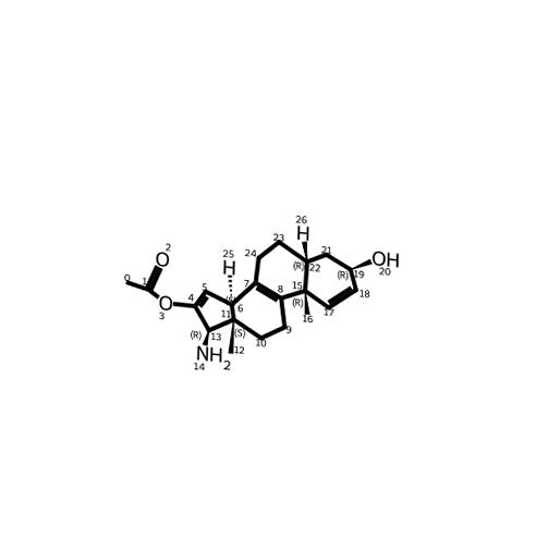 CC(=O)OC1=C[C@H]2C3=C(CC[C@]2(C)[C@H]1N)[C@@]1(C)C=C[C@H](O)C[C@H]1CC3